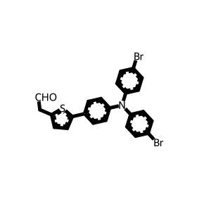 O=CCc1ccc(-c2ccc(N(c3ccc(Br)cc3)c3ccc(Br)cc3)cc2)s1